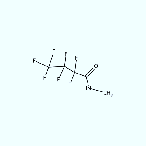 CNC(=O)C(F)(F)C(F)(F)C(F)(F)F